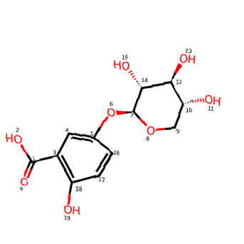 O=C(O)c1cc(O[C@@H]2OC[C@@H](O)[C@H](O)[C@H]2O)ccc1O